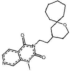 Cn1c(=O)n(CCC2CCOC3(CCCCCC3)C2)c(=O)c2ccncc21